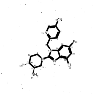 N#Cc1ccc(Cn2c(N3CC[C@@H](F)[C@H](N)C3)nc3c(Cl)cc(F)cc32)nc1